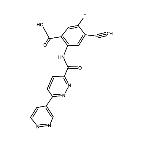 C#Cc1cc(NC(=O)c2ccc(-c3ccnnc3)nn2)c(C(=O)O)cc1F